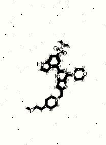 COCCC1CCN(Cc2cc3nc(-c4cc(S(=O)(=O)N(C)C)cc5[nH]ccc45)nc(N4CCOCC4)c3s2)CC1